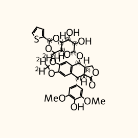 [2H]C1([2H])Oc2cc3c(cc2O1)[C@@H](O[C@@H]1O[C@H]2[C@@H](O[C@H](c4cccs4)OC2([2H])[2H])[C@H](O)[C@H]1O)[C@H]1COC(=O)[C@@H]1[C@@H]3c1cc(OC)c(O)c(OC)c1